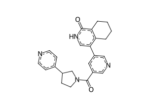 O=C(c1cncc(-c2c[nH]c(=O)c3c2CCCC3)c1)N1CCC(c2ccncc2)C1